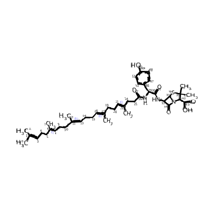 CC(C)=CCC/C(C)=C/CC/C(C)=C/CC/C=C(\C)CC/C=C(\C)CCC(=O)NC(C(=O)NC1C(=O)N2C1SC(C)(C)C2C(=O)O)c1ccc(O)cc1